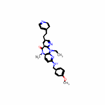 CCN1c2ncc(CCc3ccncc3)cc2C(=O)N(C)c2ccc(NCc3ccc(OC)cc3)nc21